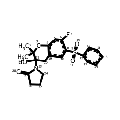 CC1(C)Oc2cc(F)c(S(=O)(=O)c3ccccc3)cc2CC1(O)N1CCCC1=O